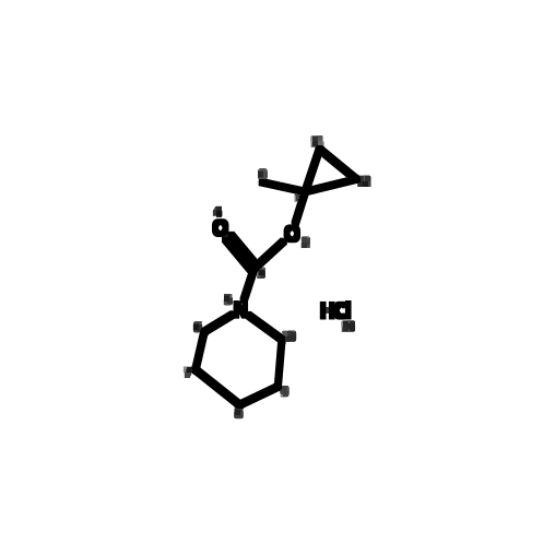 CC1(OC(=O)N2CCCCC2)CC1.Cl